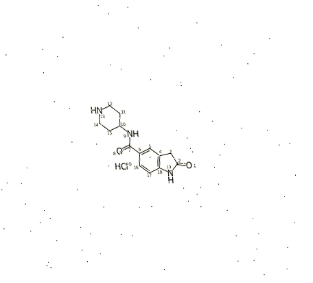 Cl.O=C1Cc2cc(C(=O)NC3CCNCC3)ccc2N1